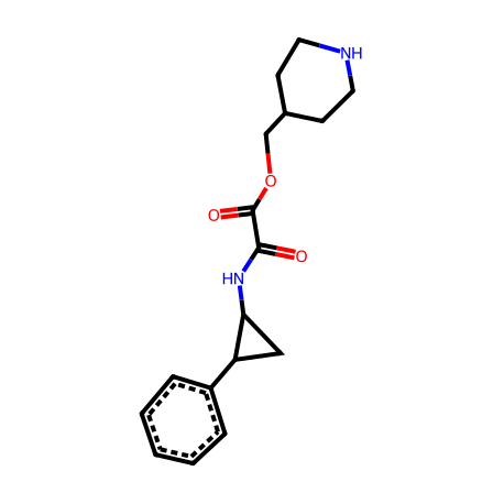 O=C(NC1CC1c1ccccc1)C(=O)OCC1CCNCC1